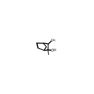 CC1(O)C2CCC(C2)C1O